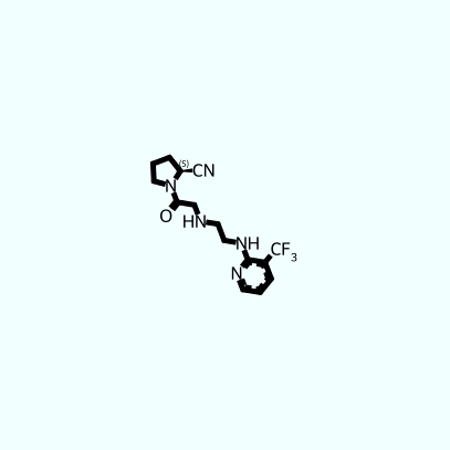 N#C[C@@H]1CCCN1C(=O)CNCCNc1ncccc1C(F)(F)F